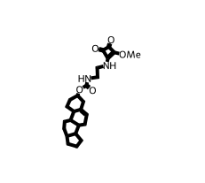 COc1c(NCCNC(=O)OC2CCC3C(=CCC4C5CCCC5CCC34)C2)c(=O)c1=O